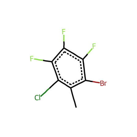 Cc1c(Cl)c(F)c(F)c(F)c1Br